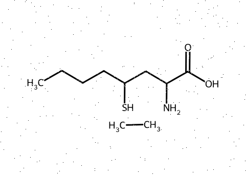 CC.CCCCC(S)CC(N)C(=O)O